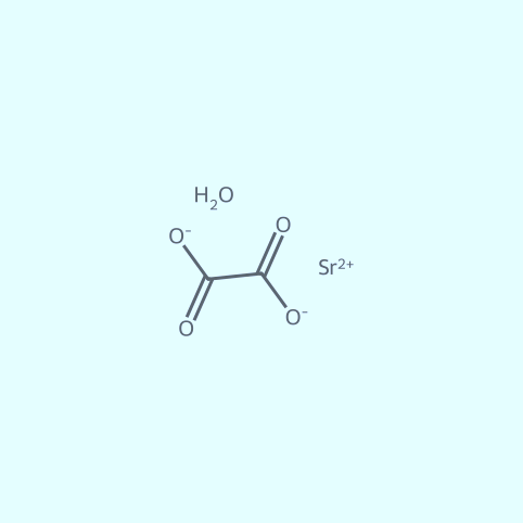 O.O=C([O-])C(=O)[O-].[Sr+2]